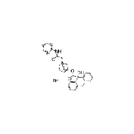 O=C(C[N+]12CCC(CC1)C(OC(=O)C1(O)c3ccccc3Cc3ccccc31)C2)Nc1ncncn1.[Br-]